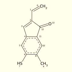 C=CC1=Cc2cc(S)c(C)cc2C1=O